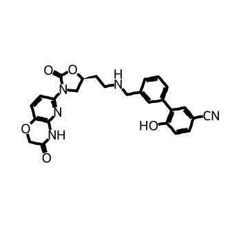 N#Cc1ccc(O)c(-c2cccc(CNCC[C@H]3CN(c4ccc5c(n4)NC(=O)CO5)C(=O)O3)c2)c1